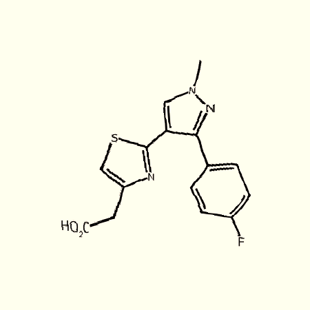 Cn1cc(-c2nc(CC(=O)O)cs2)c(-c2ccc(F)cc2)n1